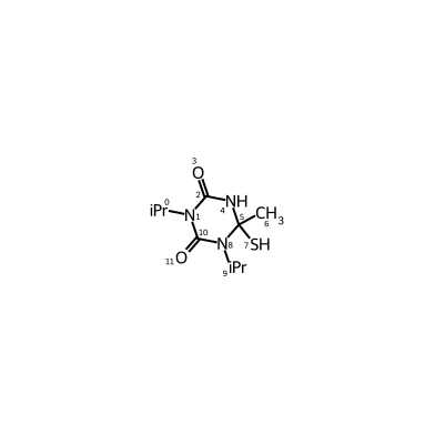 CC(C)N1C(=O)NC(C)(S)N(C(C)C)C1=O